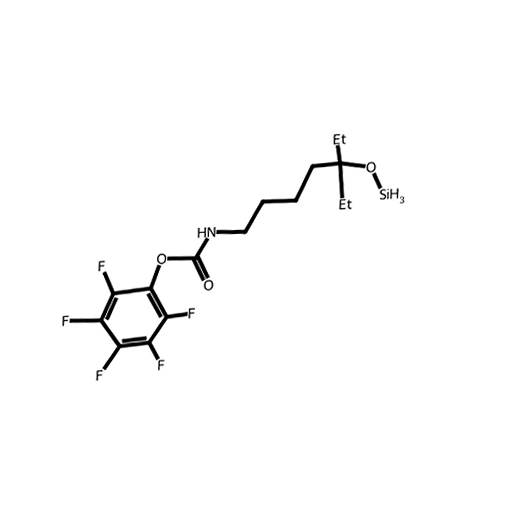 CCC(CC)(CCCCNC(=O)Oc1c(F)c(F)c(F)c(F)c1F)O[SiH3]